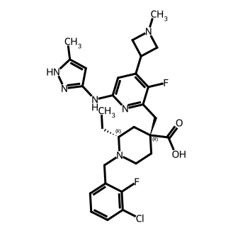 CC[C@@H]1C[C@](Cc2nc(Nc3cc(C)[nH]n3)cc(C3CN(C)C3)c2F)(C(=O)O)CCN1Cc1cccc(Cl)c1F